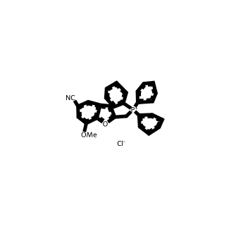 COc1cc(C#N)cc2cc(C[P+](c3ccccc3)(c3ccccc3)c3ccccc3)oc12.[Cl-]